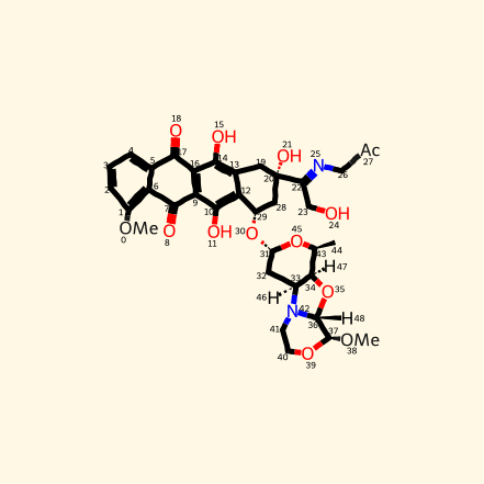 COc1cccc2c1C(=O)c1c(O)c3c(c(O)c1C2=O)C[C@@](O)(/C(CO)=N/CC(C)=O)C[C@@H]3O[C@H]1C[C@H]2[C@H](O[C@@H]3[C@@H](OC)OCCN32)[C@H](C)O1